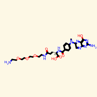 CN(c1ccc(C(=O)N[C@@H](CCC(=O)NCCOCCOCCOCCN)C(=O)O)cc1)c1cnc2nc(N)nc(O)c2n1